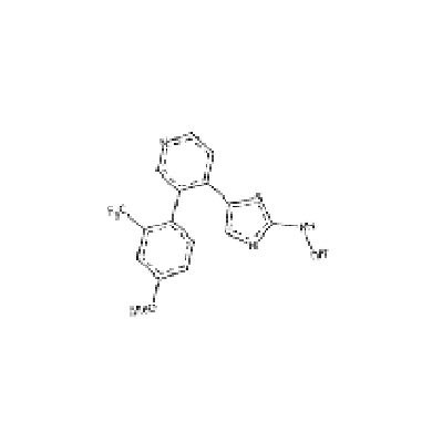 CCCNc1ncc(-c2ccncc2-c2ccc(OC)cc2C(F)(F)F)s1